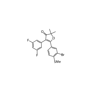 CSc1ccc(C2=C(c3cc(F)cc(F)c3)C(=O)C(C)(C)O2)cc1Br